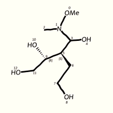 CON(C)C(O)[C@@H](CCO)[C@@H](O)CO